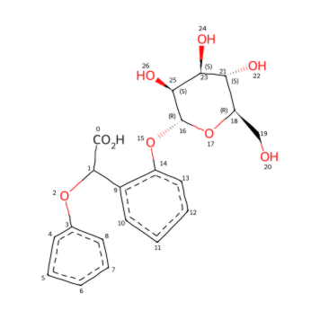 O=C(O)C(Oc1ccccc1)c1ccccc1O[C@H]1O[C@H](CO)[C@@H](O)[C@H](O)[C@@H]1O